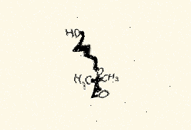 CC(C)(OCCCCCCO)C1CO1